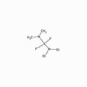 CCN(CC)S(F)(F)N(C)C